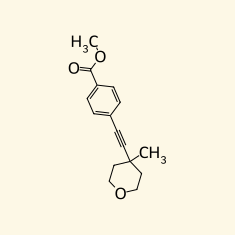 COC(=O)c1ccc(C#CC2(C)CCOCC2)cc1